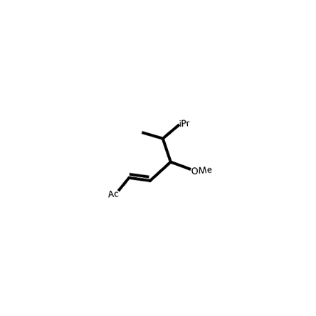 COC(/C=C/C(C)=O)C(C)C(C)C